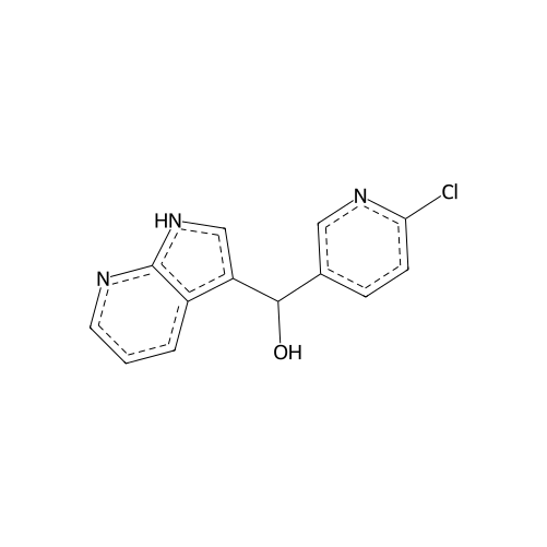 OC(c1ccc(Cl)nc1)c1c[nH]c2ncccc12